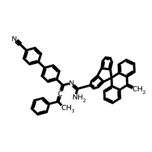 C=C1c2ccccc2C2(c3ccccc31)c1ccccc1-c1cc(/C(N)=N/C(=C=C(C)c3ccccc3)c3ccc(-c4ccc(C#N)cc4)cc3)ccc12